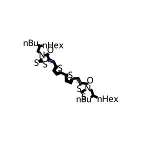 CCCCCCC(CCCC)CN1C(=O)/C(=C/c2ccc(-c3ccc(/C=C4\SC(=S)N(CC(CCCC)CCCCCC)C4=O)s3)s2)SC1=S